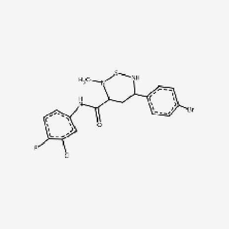 CN1SNC(c2ccc(Br)cc2)CC1C(=O)Nc1ccc(F)c(Cl)c1